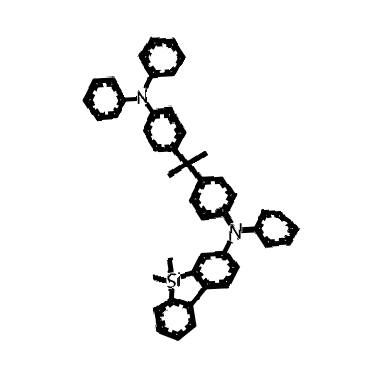 CC(C)(c1ccc(N(c2ccccc2)c2ccccc2)cc1)c1ccc(N(c2ccccc2)c2ccc3c(c2)[Si](C)(C)c2ccccc2-3)cc1